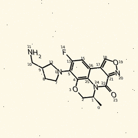 C[C@H]1COc2c(N3CCC(CN)C3)c(F)cc3c4conc4c(=O)n1c23